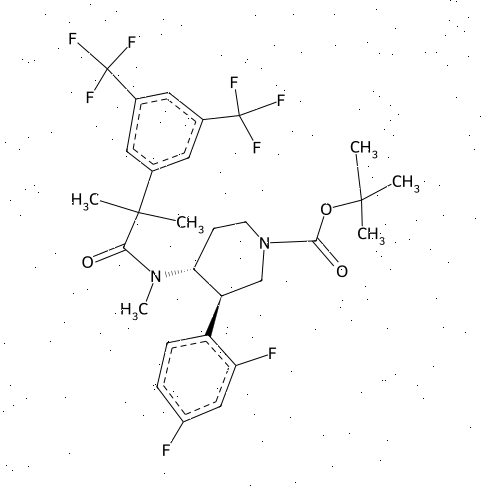 CN(C(=O)C(C)(C)c1cc(C(F)(F)F)cc(C(F)(F)F)c1)[C@@H]1CCN(C(=O)OC(C)(C)C)C[C@H]1c1ccc(F)cc1F